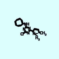 C=C/C=C\C(=N/C)c1nc(Cl)nc(NC2=C/C=C\C=C/C=C\2)n1